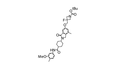 COc1cc(NC(=O)C2CCC(N3Cc4c(C)cc(OCC5(F)CN(C(=O)OC(C)(C)C)C5)cc4C3=O)CC2)ccc1C